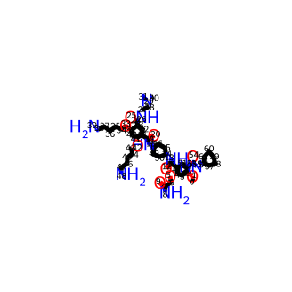 COc1cc(OCC(N)=O)c(C(=O)N[C@H]2CC[C@H](NC(=O)c3cc(C(=O)NCCN(C)C)c(OCCCCCN)cc3OCCCCCN)CC2)cc1C(=O)NC1CCCCC1